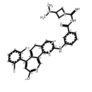 CN(C)C1CN(C(=N)NC(=O)c2cccc(Nc3ncc4c(n3)C3=CN=C(Cl)C=C(c5c(F)cccc5F)C3=CC4)c2)C1